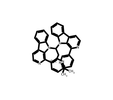 CCCCCCCCCCCC(n1c2ccccc2c2ccnc(-c3ccc(C)nc3)c21)n1c2ccccc2c2ccnc(-c3ccc(C)nc3)c21